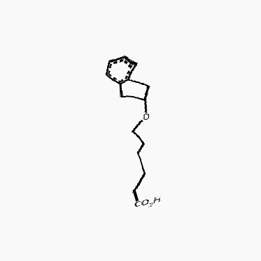 O=C(O)CCCCCOC1Cc2ccccc2C1